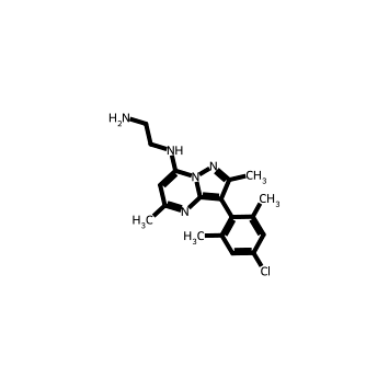 Cc1cc(NCCN)n2nc(C)c(-c3c(C)cc(Cl)cc3C)c2n1